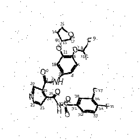 O=C(Nc1ccc(OC(F)F)c(O[C@@H]2CCOC2)c1)c1cnccc1C(=O)NS(=O)(=O)c1ccc(F)c(F)c1